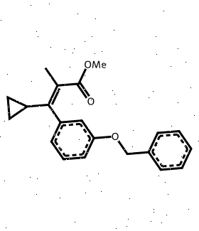 COC(=O)C(C)=C(c1cccc(OCc2ccccc2)c1)C1CC1